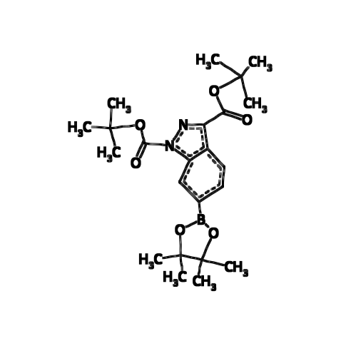 CC(C)(C)OC(=O)c1nn(C(=O)OC(C)(C)C)c2cc(B3OC(C)(C)C(C)(C)O3)ccc12